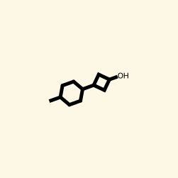 CC1CCC(C2CC(O)C2)CC1